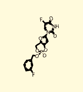 O=c1[nH]c(=O)n(-c2cc3c(o2)COP(=O)(OCc2cccc(F)c2)O3)cc1F